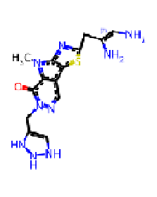 Cn1c2nc(C/C(N)=C/N)sc2c2cnn(CC3=CNNN3)c(=O)c21